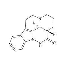 O=C1Nn2c3c(c4ccccc42)CCN2CCC[C@H]1[C@@H]32